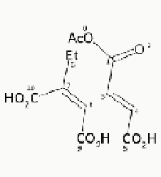 CC(=O)OC(=O)C=CC(=O)O.CCC(=CC(=O)O)C(=O)O